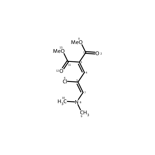 COC(=O)C(=C/C(Cl)=C/N(C)C)C(=O)OC